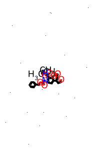 CC(C)(C)OC(=O)c1c(NC(=O)OCc2ccccc2)ccc2c1oc(=O)c1occc12